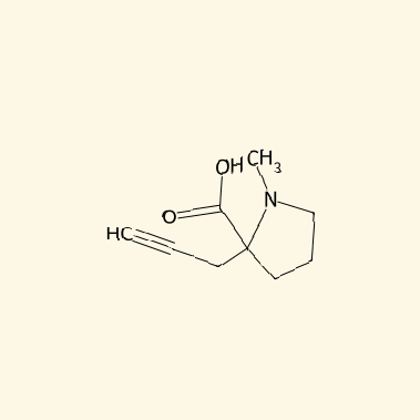 C#CCC1(C(=O)O)CCCN1C